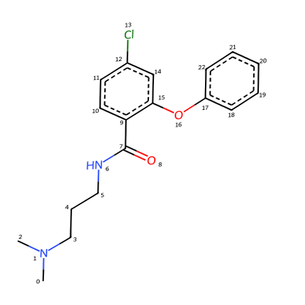 CN(C)CCCNC(=O)c1ccc(Cl)cc1Oc1ccccc1